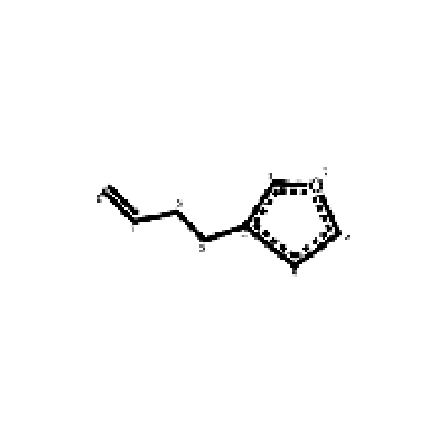 C=CCCc1ccoc1